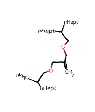 C=C(COCC(CCCCCCC)CCCCCCC)COCC(CCCCCCC)CCCCCCC